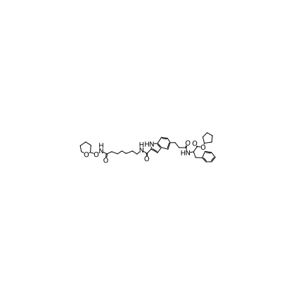 O=C(CCCCCCNC(=O)c1cc2cc(CCC(=O)NC(Cc3ccccc3)C(=O)OC3CCCC3)ccc2[nH]1)NOC1CCCCO1